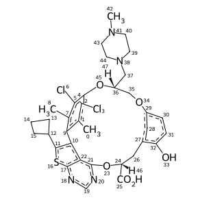 Cc1c(Cl)c2c(Cl)c(C)c1-c1c(C3CCC3)sc3ncnc(c13)O[C@@H](C(=O)O)Cc1cc(ccc1O)OC[C@@H](CN1CCN(C)CC1)O2